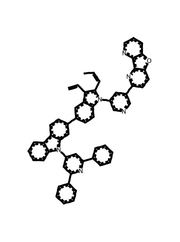 C=Cc1c(/C=C\C)n(-c2cncc(-c3ccc4oc5cccnc5c4n3)c2)c2ccc(-c3ccc4c5ccccc5n(-c5cc(-c6ccccc6)nc(-c6ccccc6)c5)c4c3)cc12